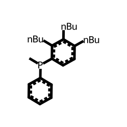 CCCCc1ccc(P(C)c2ccccc2)c(CCCC)c1CCCC